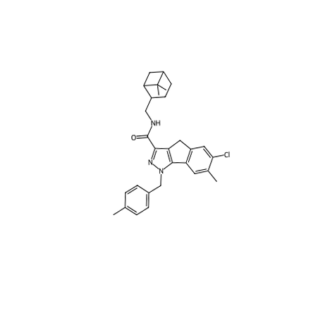 Cc1ccc(Cn2nc(C(=O)NCC3CCC4CC3C4(C)C)c3c2-c2cc(C)c(Cl)cc2C3)cc1